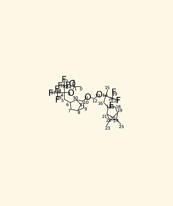 CC(=O)OC(CC1CC2CC(OCOC(C)(CC3CC4CC3C(C)C4C)C(F)(F)F)C1C2)(C(F)(F)F)C(F)(F)F